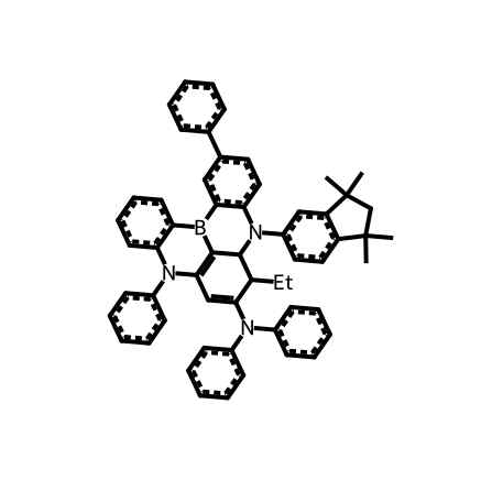 CCC1C(N(c2ccccc2)c2ccccc2)=CC2=C3B(c4ccccc4N2c2ccccc2)c2cc(-c4ccccc4)ccc2N(c2ccc4c(c2)C(C)(C)CC4(C)C)C31